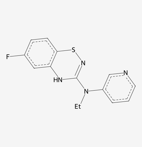 CCN(C1=NSc2ccc(F)cc2N1)c1cccnc1